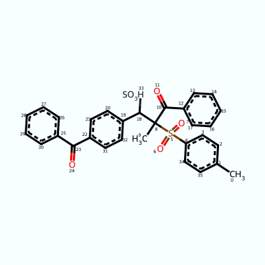 Cc1ccc(S(=O)(=O)C(C)(C(=O)c2ccccc2)C(c2ccc(C(=O)c3ccccc3)cc2)S(=O)(=O)O)cc1